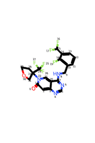 O=c1cc2ncnc(NCc3cccc(C(F)F)c3F)c2cn1C1(C(F)(F)F)CCOC1